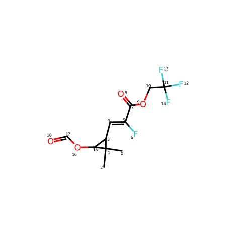 CC1(C)C(C=C(F)C(=O)OCC(F)(F)F)C1OC=O